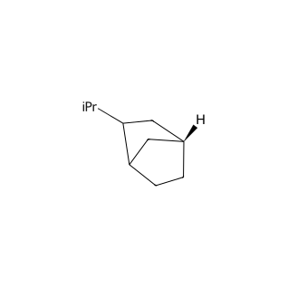 CC(C)C1C[C@@H]2CCC1C2